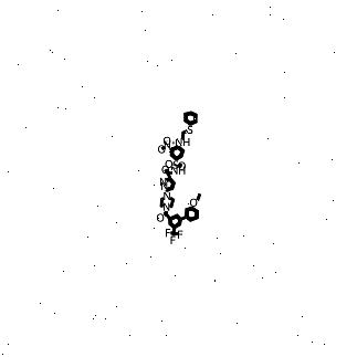 CCOc1cccc(-c2cc(C(=O)N3CCN(c4ccc(C(=O)NS(=O)(=O)c5ccc(NCCSc6ccccc6)c([N+](=O)[O-])c5)nn4)CC3)cc(C(F)(F)F)c2)c1